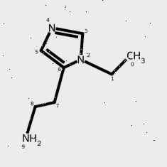 CCn1cncc1CCN